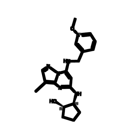 CO[n+]1cccc(CNc2cc(N[C@H]3CCC[C@@H]3O)nc3c(C)cnn23)c1